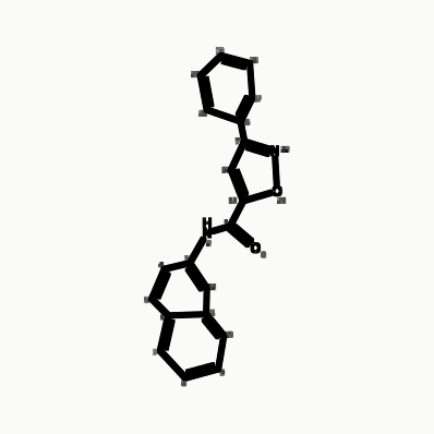 O=C(Nc1ccc2ccccc2c1)c1cc(-c2ccccc2)no1